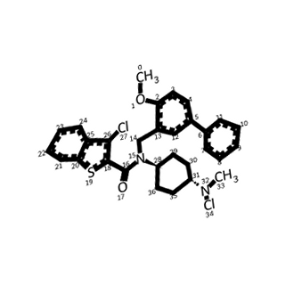 COc1ccc(-c2ccccc2)cc1CN(C(=O)c1sc2ccccc2c1Cl)[C@H]1CC[C@H](N(C)Cl)CC1